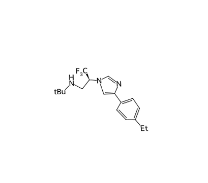 CCc1ccc(-c2cn([C@@H](CNC(C)(C)C)C(F)(F)F)cn2)cc1